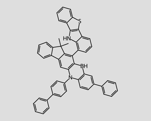 CC1(C)c2ccccc2-c2cc3c(c(-c4cccc5c4[nH]c4c6ccccc6sc54)c21)Bc1cc(-c2ccccc2)ccc1N3c1ccc(-c2ccccc2)cc1